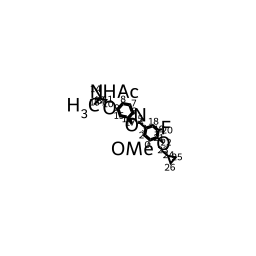 COc1cc(-c2nc3ccc(OC[C@H](C)NC(C)=O)cc3o2)cc(F)c1OCC1CC1